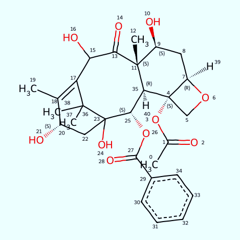 CC(=O)O[C@@]12CO[C@@H]1C[C@H](O)[C@@]1(C)C(=O)C(O)C3=C(C)[C@@H](O)CC(O)([C@@H](OC(=O)c4ccccc4)[C@H]21)C3(C)C